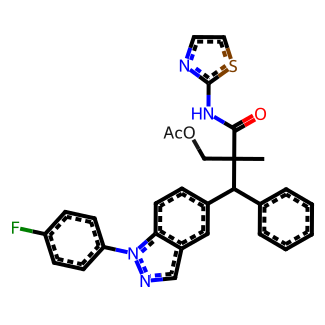 CC(=O)OCC(C)(C(=O)Nc1nccs1)C(c1ccccc1)c1ccc2c(cnn2-c2ccc(F)cc2)c1